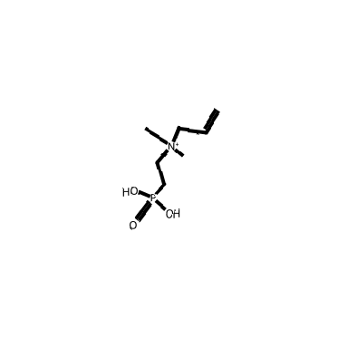 C=CC[N+](C)(C)CCP(=O)(O)O